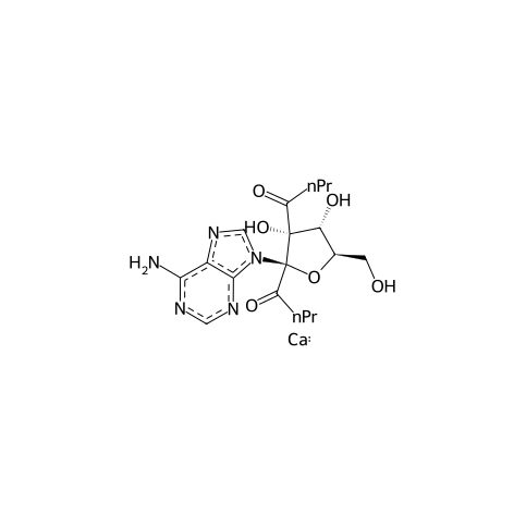 CCCC(=O)[C@@]1(O)[C@H](O)[C@@H](CO)O[C@@]1(C(=O)CCC)n1cnc2c(N)ncnc21.[Ca]